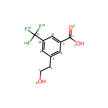 O=C(O)c1cc(CCO)cc(C(F)(F)F)c1